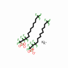 O=S(=O)([O-])C(F)(F)C(F)(F)C(F)(F)CCCCCCCCC(F)(F)F.O=S(=O)([O-])C(F)(F)C(F)(F)C(F)(F)CCCCCCCCC(F)(F)F.[K+].[K+]